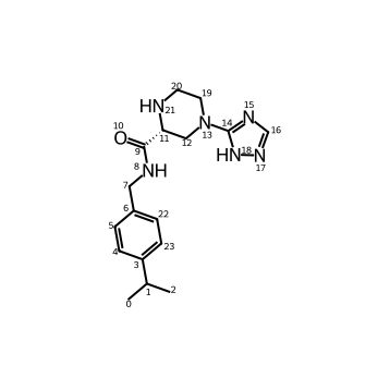 CC(C)c1ccc(CNC(=O)[C@H]2CN(c3ncn[nH]3)CCN2)cc1